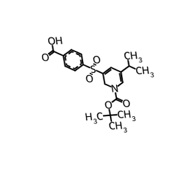 CC(C)C1=CN(C(=O)OC(C)(C)C)CC(S(=O)(=O)c2ccc(C(=O)O)cc2)=C1